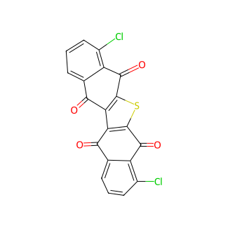 O=c1c2sc3c(=O)c4c(Cl)cccc4c(=O)c3c2c(=O)c2cccc(Cl)c12